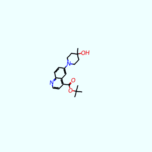 CC1(O)CCN(c2ccc3nccc(C(=O)OC(C)(C)C)c3c2)CC1